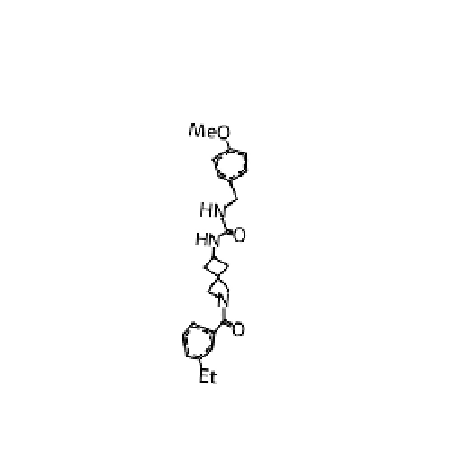 CCc1cccc(C(=O)N2CC3(CC(NC(=O)NCc4ccc(OC)cc4)C3)C2)c1